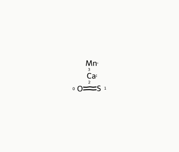 O=S.[Ca].[Mn]